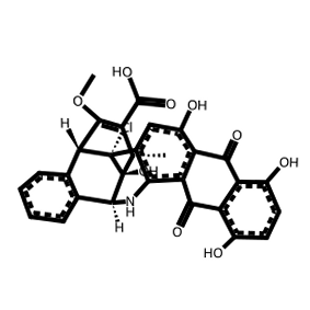 COC1=C(C(=O)O)[C@H](C)[C@]2(O)[C@H]3Nc4c(cc(O)c5c4C(=O)c4c(O)ccc(O)c4C5=O)[C@]2(Cl)[C@@H]1c1ccccc13